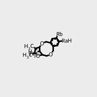 CC1OC2COCc3c[c]([RaH])[c]([Rb])cc3COC([C@@H]1C)C2(C)C